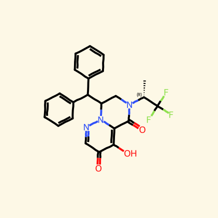 C[C@@H](N1CC(C(c2ccccc2)c2ccccc2)n2ncc(=O)c(O)c2C1=O)C(F)(F)F